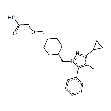 O=C(O)COC[C@H]1CC[C@H](Cn2nc(C3CC3)c(I)c2-c2ccccc2)CC1